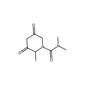 CC1C(=O)CC(=O)CN1C(=O)N(C)C